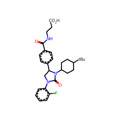 CC(C)(C)C1CCC(N2C(=O)N(c3ccccc3F)CC2c2ccc(C(=O)NCCC(=O)O)cc2)CC1